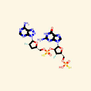 Nc1nc2c(ncn2[C@@H]2O[C@H](COP(=O)(O)S)[C@H](F)[C@H]2OP(=O)(S)OC[C@@H]2C[C@H](F)[C@H](n3nnc4c(N)ncnc43)O2)c(=O)[nH]1